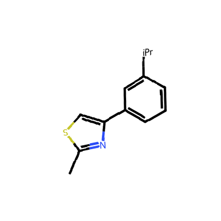 Cc1nc(-c2cccc(C(C)C)c2)cs1